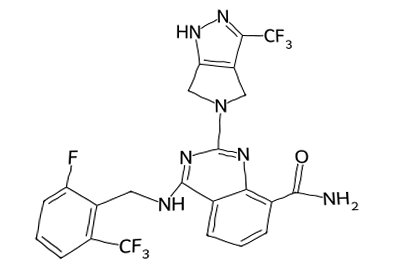 NC(=O)c1cccc2c(NCc3c(F)cccc3C(F)(F)F)nc(N3Cc4[nH]nc(C(F)(F)F)c4C3)nc12